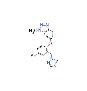 CC(=O)c1ccc(Oc2ccc3nnn(C)c3c2)c(Cn2cncn2)c1